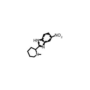 CN1CCCCC1c1nc2cc([N+](=O)[O-])ccc2[nH]1